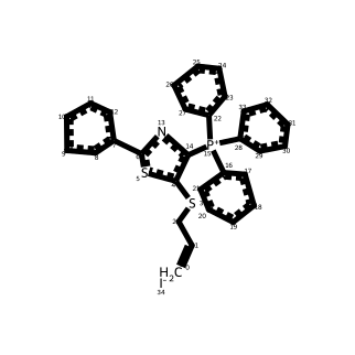 C=CCSc1sc(-c2ccccc2)nc1[P+](c1ccccc1)(c1ccccc1)c1ccccc1.[I-]